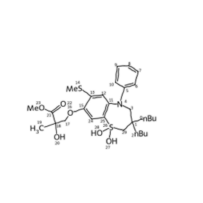 CCCCC1(CCCC)CN(c2ccccc2)c2cc(SC)c(OCC(C)(O)C(=O)OC)cc2S(O)(O)C1